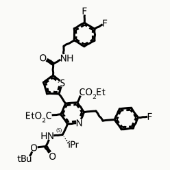 CCOC(=O)c1c(CCc2ccc(F)cc2)nc([C@@H](NC(=O)OC(C)(C)C)C(C)C)c(C(=O)OCC)c1-c1ccc(C(=O)NCc2ccc(F)c(F)c2)s1